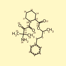 CC(CCc1ccccc1)OC(=O)C1CCCCN1C(=O)C(=O)C(C)(C)N